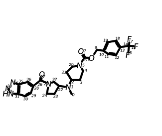 CN(C1CCN(C(=O)OCc2ccc(C(F)(F)F)cc2)CC1)C1CCN(C(=O)c2ccc3[nH]nnc3c2)C1